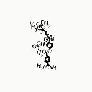 CC(=O)O.CC(C)(C)OC(=O)CCNS(=O)(=O)c1ccc(OC(=O)c2ccc(C(=N)N)cc2)cc1